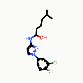 CC(C)CCCC(O)Nc1ccn(-c2ccc(Cl)c(Cl)c2)n1